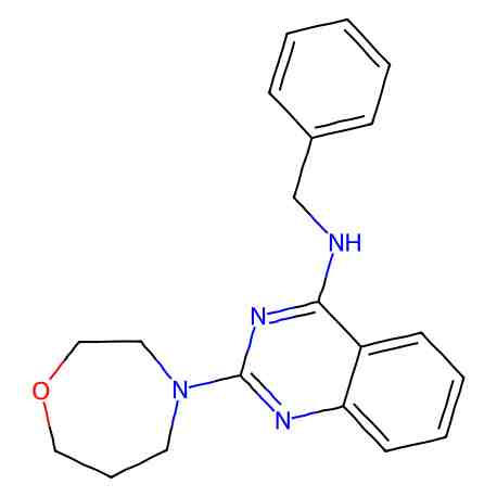 c1ccc(CNc2nc(N3CCCOCC3)nc3ccccc23)cc1